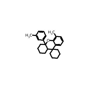 Cc1cccc(C23CCCCC2C2(CCCCC2)c2cccc(C)c2O3)c1